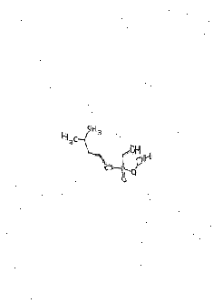 CC([SiH3])CCOP(=O)(CO)OO